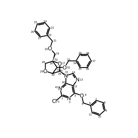 Clc1nc(OCc2ccccc2)c2ncn([C@@H]3O[C@@]4(COCc5ccccc5)COC3C4OCc3ccccc3)c2n1